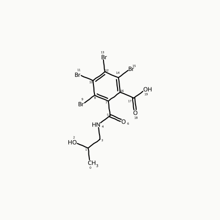 CC(O)CNC(=O)c1c(Br)c(Br)c(Br)c(Br)c1C(=O)O